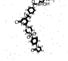 NCC(O)CNC(=O)[C@H]1CC[C@H](C(F)(F)c2cc(Cl)nc(N3CCN(S(=O)(=O)c4ccc(N5CCCC5=O)cc4)CC3)c2)CC1